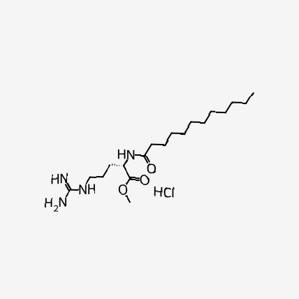 CCCCCCCCCCCC(=O)N[C@@H](CCCNC(=N)N)C(=O)OC.Cl